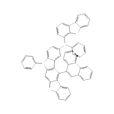 c1ccc(N(c2ccc3c(c2)c2c(-c4cc5ccccc5c5ccccc45)c4c(cc2n3-c2ccccc2)oc2ccccc24)c2cccc3c2sc2ccccc23)cc1